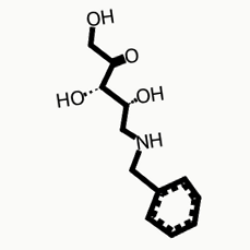 O=C(CO)[C@@H](O)[C@H](O)CNCc1ccccc1